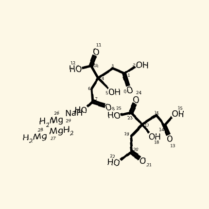 O=C(O)CC(O)(CC(=O)O)C(=O)O.O=C(O)CC(O)(CC(=O)O)C(=O)O.[MgH2].[MgH2].[MgH2].[NaH]